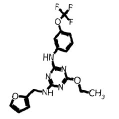 CCOc1nc(NCc2ccco2)nc(Nc2cccc(OC(F)(F)F)c2)n1